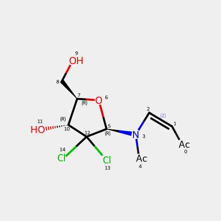 CC(=O)/C=C\N(C(C)=O)[C@@H]1O[C@H](CO)[C@@H](O)C1(Cl)Cl